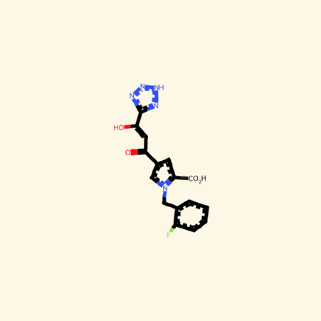 O=C(C=C(O)c1nn[nH]n1)c1cc(C(=O)O)n(Cc2ccccc2F)c1